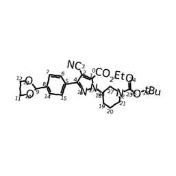 CCOC(=O)c1c(C#N)c(-c2ccc(C3OCCO3)cc2)nn1[C@@H]1CCCN(C(=O)OC(C)(C)C)C1